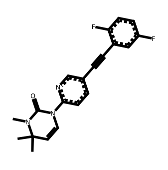 CN1C(=O)N(c2ccc(C#Cc3cc(F)ccc3F)cn2)C=CC1(C)C